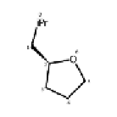 CC(C)C[C@@H]1CCCO1